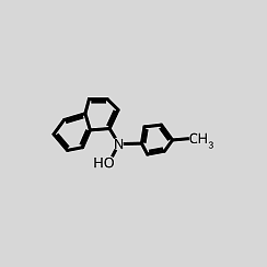 Cc1ccc(N(O)c2cccc3ccccc23)cc1